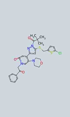 CC(C)(C)C(=O)n1nc(-c2cc(=O)n(CC(=O)c3ccccc3)cc2N2CCOCC2)cc1SCc1ccc(Cl)s1